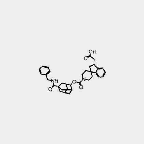 O=C(O)C[C@H]1CC2(CCN(C(=O)OC3C4CC5CC3CC(C(=O)NCc3ccccc3)(C5)C4)CC2)c2ccccc21